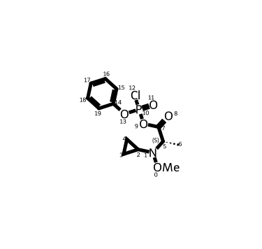 CON(C1CC1)[C@@H](C)C(=O)OP(=O)(Cl)Oc1ccccc1